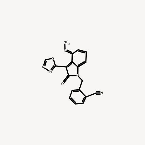 N#Cc1ccccc1CN1C(=O)C(c2nncs2)=C2C1=CC=CC2=NN